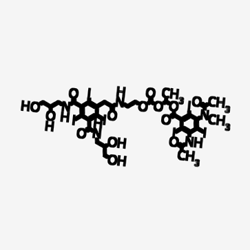 CC(=O)Nc1c(I)c(C(=O)OC(C)OC(=O)OCCNC(=O)Cc2c(I)c(C(=O)NCC(O)CO)c(I)c(C(=O)NCC(O)CO)c2I)c(I)c(N(C)C(C)=O)c1I